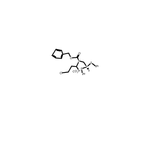 CC(C)SP(=S)(CN(C(=O)OCc1ccccc1)C(CCCl)C(=O)O)SC(C)C